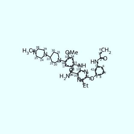 C=CC(=O)Nc1cccc(Oc2nc(Nc3ccc(N4CCC(N5CCN(C)CC5)CC4)c(OC)c3)c(C(N)=O)nc2CC)c1